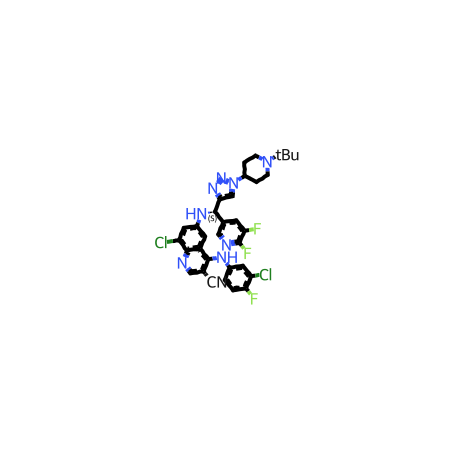 CC(C)(C)N1CCC(n2cc([C@@H](Nc3cc(Cl)c4ncc(C#N)c(Nc5ccc(F)c(Cl)c5)c4c3)c3cnc(F)c(F)c3)nn2)CC1